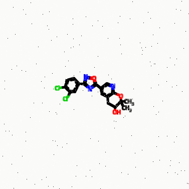 CC1(C)Oc2ncc(-c3nc(-c4ccc(Cl)c(Cl)c4)no3)cc2CC1O